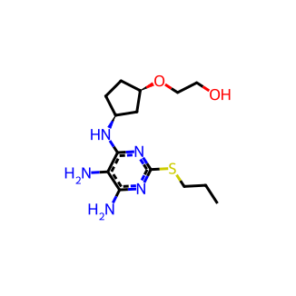 CCCSc1nc(N)c(N)c(N[C@H]2CC[C@@H](OCCO)C2)n1